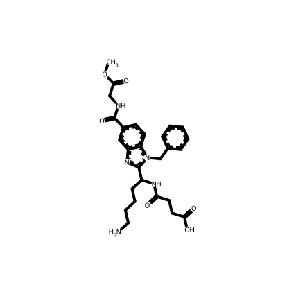 COC(=O)CNC(=O)c1ccc2c(c1)nc(C(CCCCN)NC(=O)CCC(=O)O)n2Cc1ccccc1